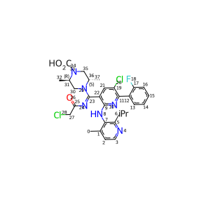 Cc1ccnc(C(C)C)c1Nc1nc(-c2ccccc2F)c(Cl)cc1C(=NC(=O)CCl)N1C[C@@H](C)N(C(=O)O)C[C@@H]1C